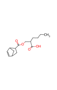 CCCCC(COC(=O)C1CC2C=CC1C2)C(=O)O